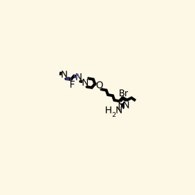 C=N/C=C(F)\C=N/CN1CCC(OCCCCCc2c(Br)c(CC)nn2N)CC1